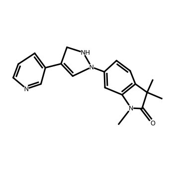 CN1C(=O)C(C)(C)c2ccc(N3C=C(c4cccnc4)CN3)cc21